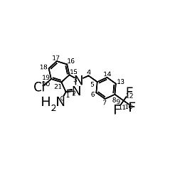 Nc1nn(Cc2ccc(C(F)(F)F)cc2)c2cccc(Cl)c12